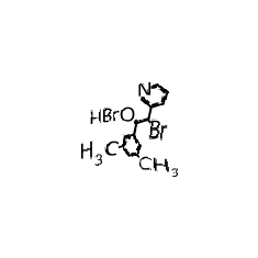 Br.Cc1cc(C)cc(C(=O)C(Br)c2cccnc2)c1